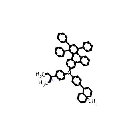 C=C/C(=C\C)c1ccc(N(c2ccc(C3=CC=CC4(C)C=CC=CC34)cc2)c2ccc3c(c2)c2ccccc2c2c(-c4ccccc4)cc(-c4ccccc4)c(-c4ccccc4)c32)cc1